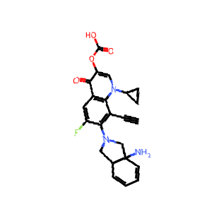 C#Cc1c(N2CC3C=CC=CC3(N)C2)c(F)cc2c(=O)c(OC(=O)O)cn(C3CC3)c12